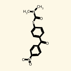 CN(C)C(=O)Sc1ccc(C(=O)c2ccc([N+](=O)[O-])cc2)cc1